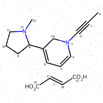 CC#CN1C=CC=C(C2CCCN2C)C1.O=C(O)/C=C/C(=O)O